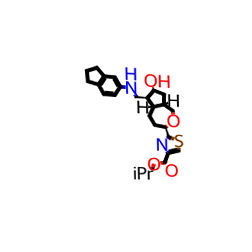 CC(C)OC(=O)c1csc([C@H]2CC[C@H]3[C@@H](CO2)C[C@@H](O)[C@@H]3CNc2ccc3c(c2)CCC3)n1